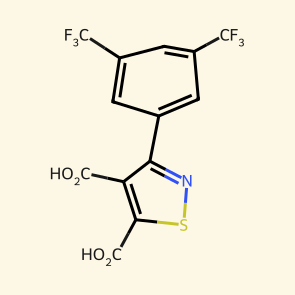 O=C(O)c1snc(-c2cc(C(F)(F)F)cc(C(F)(F)F)c2)c1C(=O)O